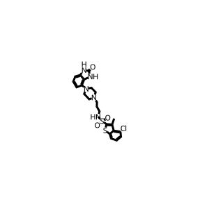 Cc1c(S(=O)(=O)NCCCN2CCN(c3cccc4[nH]c(=O)[nH]c34)CC2)sc2cccc(Cl)c12